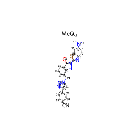 COCCN(C)[C@H]1CCc2nc(NC(=O)c3cccc(Cn4cc(-c5ccc(C#N)cc5)nn4)c3)sc2C1